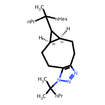 CCCCCCC(C)(CCC)C1[C@H]2CCc3nnn(C(C)(C)CCC)c3CC[C@@H]12